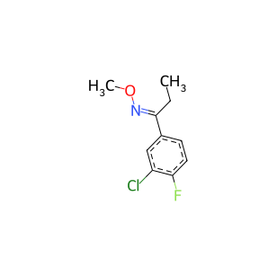 CCC(=NOC)c1ccc(F)c(Cl)c1